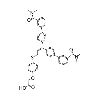 CN(C)C(=O)c1cccc(-c2ccc(C(=CCSc3ccc(OCC(=O)O)cc3)c3ccc(-c4cccc(C(=O)N(C)C)c4)cc3)cc2)c1